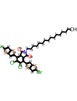 CCCCCCCCCCCCCCCCN1C(=O)c2c(c(-c3cc4sc(Br)cc4s3)c(Cl)c(Cl)c2-c2cc3sc(Br)cc3s2)C1=O